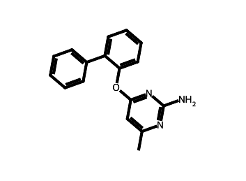 Cc1cc(Oc2ccccc2-c2ccccc2)nc(N)n1